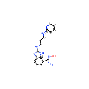 NC(=NO)c1cccc2nc(NCCCNc3ccccn3)[nH]c12